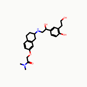 CN(C)C(=O)COc1ccc2c(c1)CC(NCC(O)c1ccc(O)c(CCO)c1)CC2